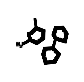 Cc1cccc(P)n1.c1ccc(-c2ccccc2)cc1